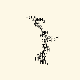 Nc1nc2ncc(CNc3ccc(C(=O)NC(CCC(=O)NCCCCn4cnc(CC(N)C(=O)O)c4)C(=O)O)cc3)nc2c(=O)[nH]1